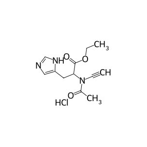 C#CN(C(C)=O)C(Cc1cnc[nH]1)C(=O)OCC.Cl